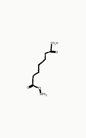 NOC(=O)CCCCCC(=O)C(=O)O